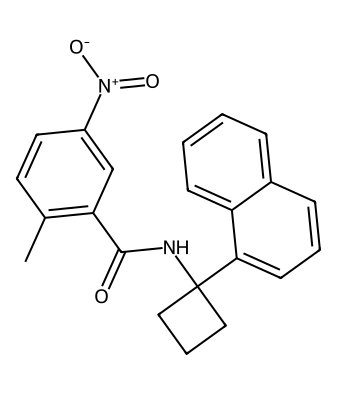 Cc1ccc([N+](=O)[O-])cc1C(=O)NC1(c2cccc3ccccc23)CCC1